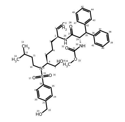 C=C[C@H](CCC[C@@H](CO)N(CCC(C)C)S(=O)(=O)c1ccc(CO)cc1)NC(=O)[C@@H](NC(=O)OC)C(c1ccccc1)c1ccccc1